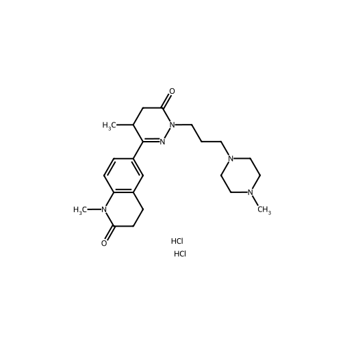 CC1CC(=O)N(CCCN2CCN(C)CC2)N=C1c1ccc2c(c1)CCC(=O)N2C.Cl.Cl